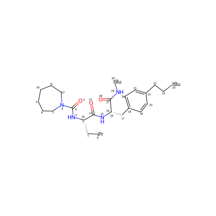 CC(C)C[C@H](NC(=O)N1CCCCCC1)C(=O)N[C@@H](Cc1ccc(CCC(C)(C)C)cc1)C(=O)NC(C)(C)C